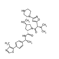 Cc1ncsc1-c1ccc([C@H](C)NC(=O)[C@@H]2C[C@@H](O)CN2C(=O)[C@@H](c2cc(N3CCNC[C@H]3C)no2)C(C)C)cc1